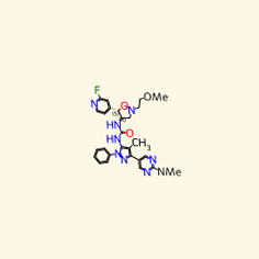 CNc1ncc(-c2nn(-c3ccccc3)c(NC(=O)N[C@@H]3CN(CCOC)O[C@H]3c3ccnc(F)c3)c2C)cn1